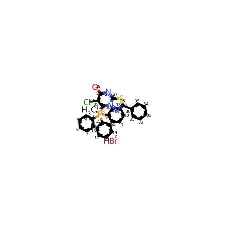 Br.CP(c1ccccc1)(c1ccccc1)(c1ccccc1)c1c(Cl)c(=O)nc2sc(-c3ccccc3)nn12